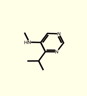 CNc1cncnc1C(C)C